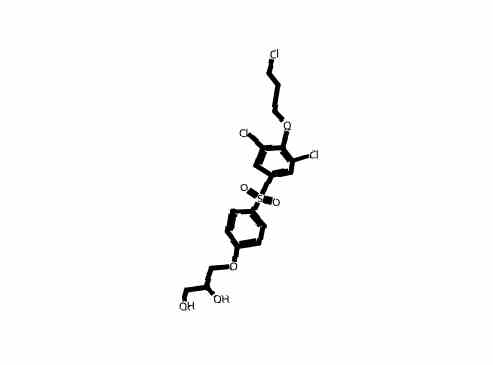 O=S(=O)(c1ccc(OCC(O)CO)cc1)c1cc(Cl)c(OCCCCl)c(Cl)c1